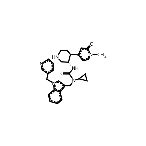 Cn1ccc([C@@H]2CCNC[C@H]2NC(=O)N(Cc2cn(Cc3cccnc3)c3ccccc23)C2CC2)cc1=O